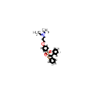 CCN(CC)CCCOc1ccc(S(=O)(=O)c2sc3ccccc3c2-c2ccccc2)cc1